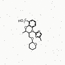 Cc1cnc(N2c3cccc(C(=O)O)c3OC(C)C2COC2CCCCO2)s1